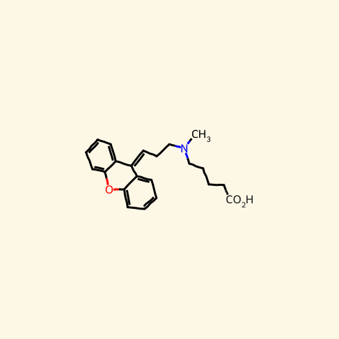 CN(CCC=C1c2ccccc2Oc2ccccc21)CCCCC(=O)O